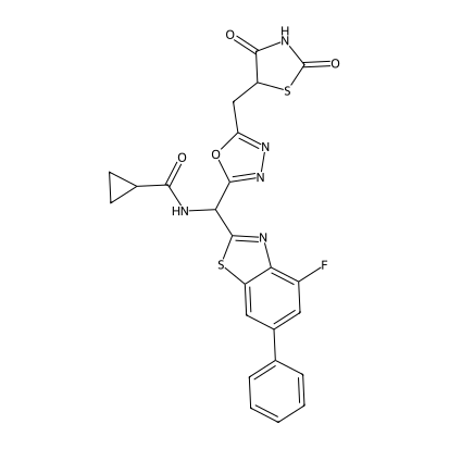 O=C1NC(=O)C(Cc2nnc(C(NC(=O)C3CC3)c3nc4c(F)cc(-c5ccccc5)cc4s3)o2)S1